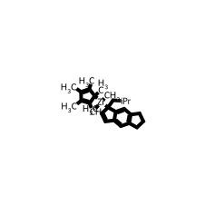 CC1=C(C)[C](C)([Zr]([CH3])([CH3])[C]2(CC(C)C)C=Cc3cc4c(cc32)CCC4)C(C)=C1C